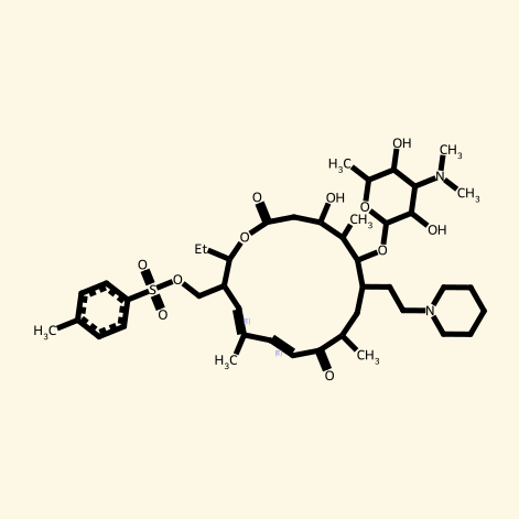 CCC1OC(=O)CC(O)C(C)C(OC2OC(C)C(O)C(N(C)C)C2O)C(CCN2CCCCC2)CC(C)C(=O)/C=C/C(C)=C/C1COS(=O)(=O)c1ccc(C)cc1